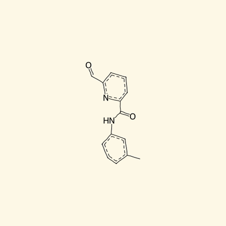 Cc1cccc(NC(=O)c2cccc(C=O)n2)c1